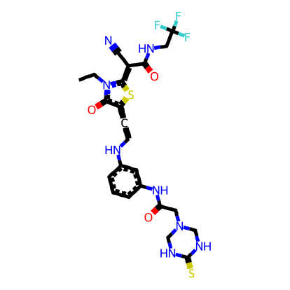 CCn1c(=O)c(=C=CNc2cccc(NC(=O)CN3CNC(=S)NC3)c2)s/c1=C(/C#N)C(=O)NCC(F)(F)F